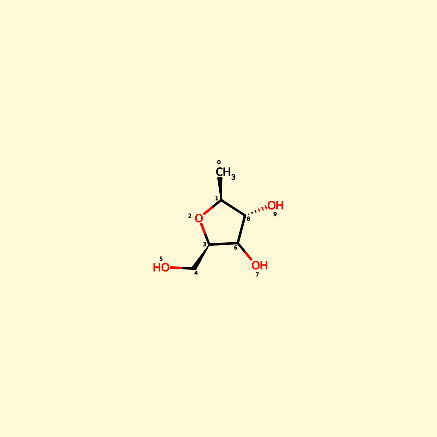 C[C@@H]1O[C@H](CO)C(O)[C@H]1O